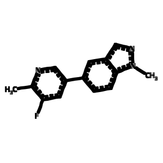 Cc1ncc(-c2ccc3c(cnn3C)c2)cc1F